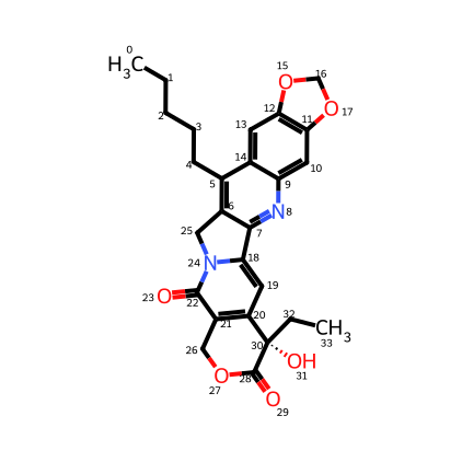 CCCCCc1c2c(nc3cc4c(cc13)OCO4)-c1cc3c(c(=O)n1C2)COC(=O)[C@]3(O)CC